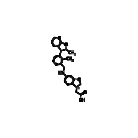 Cc1c(CNc2ccc3c(c2)OC[C@H]3CC(=O)O)cccc1C1c2cccnc2OC1C